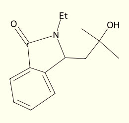 CCN1C(=O)c2ccccc2C1CC(C)(C)O